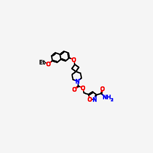 CCOc1ccc2ccc(OC3CC4(CCN(C(=O)OCc5cc(C(N)=O)no5)CC4)C3)cc2c1